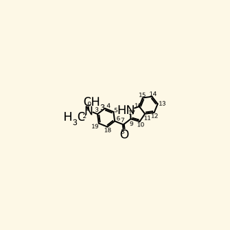 CN(C)c1ccc(C(=O)c2cc3ccccc3[nH]2)cc1